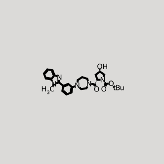 Cn1c(-c2cccc(N3CCCN(C(=O)[C@@H]4C[C@@H](O)CN4C(=O)OC(C)(C)C)CC3)c2)nc2ccccc21